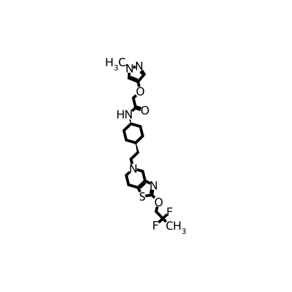 Cn1cc(OCC(=O)N[C@H]2CC[C@H](CCN3CCc4sc(OCC(C)(F)F)nc4C3)CC2)cn1